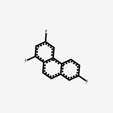 Fc1[c]c2ccc3c(F)[c]c(F)cc3c2cc1